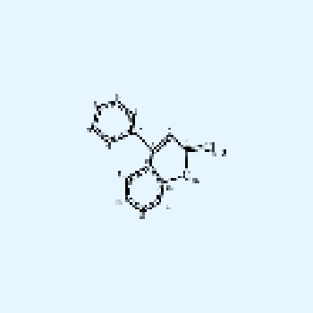 C=C1C=C(c2ccccc2)c2ccccc2O1